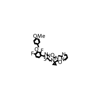 COc1ccc(COc2c(F)ccc(-c3nnc(CN4C(=O)N(Cc5ncccn5)C(=O)C45CC5)s3)c2F)cc1